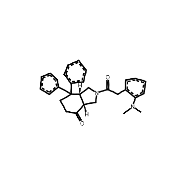 CN(C)c1ccccc1CC(=O)N1C[C@@H]2C(=O)CCC(c3ccccc3)(c3ccccc3)[C@@H]2C1